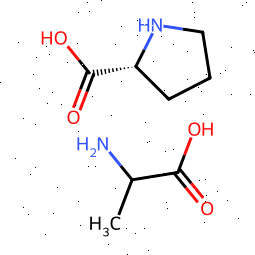 CC(N)C(=O)O.O=C(O)[C@H]1CCCN1